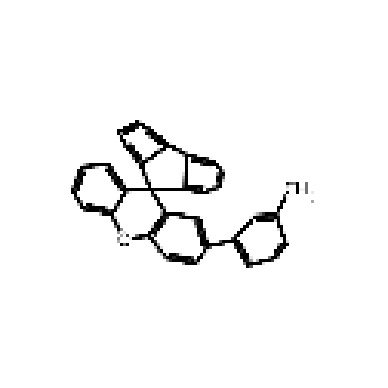 Cc1cccc(-c2ccc3c(c2)C2(c4ccccc4O3)c3ccccc3-c3ccccc32)c1